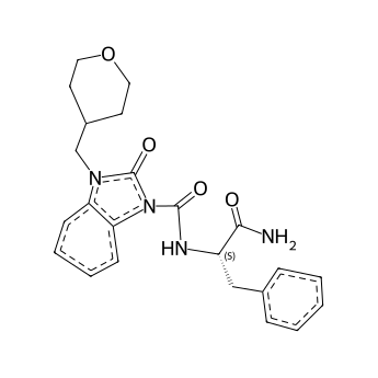 NC(=O)[C@H](Cc1ccccc1)NC(=O)n1c(=O)n(CC2CCOCC2)c2ccccc21